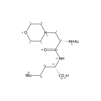 CC(=O)N[C@@H](CN1CCOCC1)C(=O)N[C@@H](CCC(C)(C)C)C(=O)O